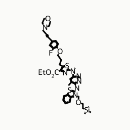 CCOC(=O)c1nc(N(C)c2cc(C)c(/N=c3\sc4ccccc4n3COCC[Si](C)(C)C)nn2)sc1CCCOc1ccc(C#CCN2CCOCC2)cc1F